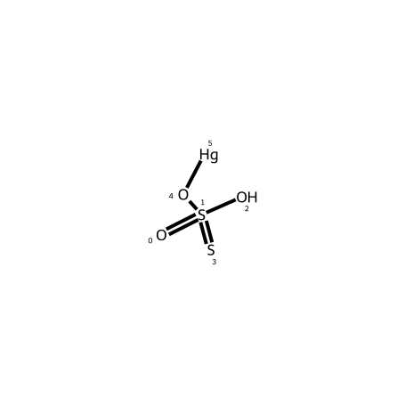 O=S(O)(=S)[O][Hg]